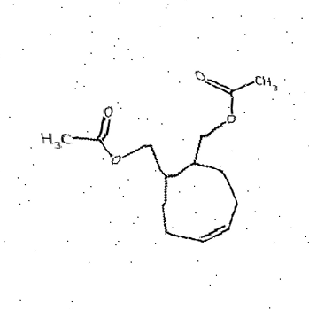 CC(=O)OCC1CCC=CCCC1COC(C)=O